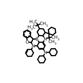 CC(C)(C)C1CC2B3C4C(=CC(N(C5CCCCC5)C5CCCCC5)=CC4N(C4C=CCCC4)C4Oc5ccccc5C34)N3C2C(C1)C1(CCCCC1)C3(C)C